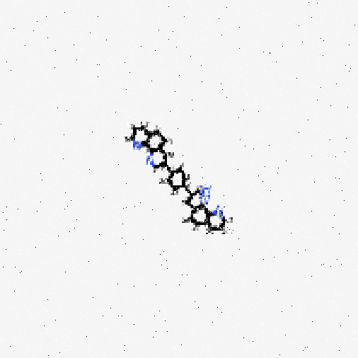 C1=C(c2ccc(-c3cnc4c(ccc5cccnc54)c3)cc2)CNc2c1ccc1cccnc21